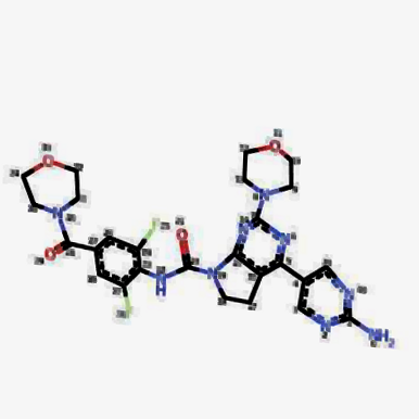 Nc1ncc(-c2nc(N3CCOCC3)nc3c2CCN3C(=O)Nc2c(F)cc(C(=O)N3CCOCC3)cc2F)cn1